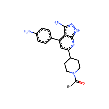 CC(C)C(=O)N1CCC(c2cc(-c3ccc(N)cc3)c3c(N)n[nH]c3n2)CC1